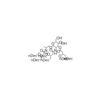 CCCCCCCCCCCC(CC(=O)NC(C)COC1OC(CO)C(OO)C(OC(=O)CC(CCCCCCCCCCC)OCCCCCCCCCC)C1NC(=O)CC(CCCCCCCCCCC)OCCCCCCCCCC)OCCCCCCCCCC